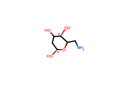 NCC1O[C@@H](O)CC(O)[C@H]1O